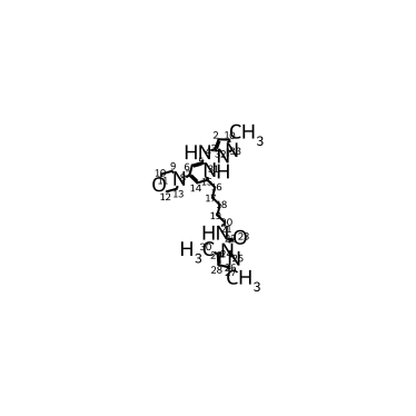 Cc1cc(Nc2cc(N3CCOCC3)cc(CCCCCNC(=O)n3nc(C)cc3C)n2)[nH]n1